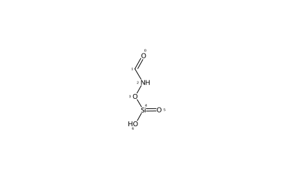 O=CNO[Si](=O)O